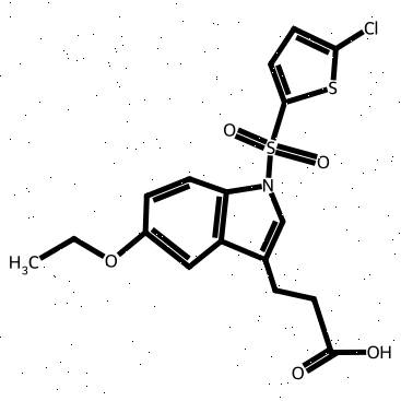 CCOc1ccc2c(c1)c(CCC(=O)O)cn2S(=O)(=O)c1ccc(Cl)s1